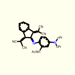 CCCN(CCC)c1ccc(N=C2C(=C(C#N)C#N)c3ccccc3C2=C(C#N)C#N)c(NC(C)=O)c1